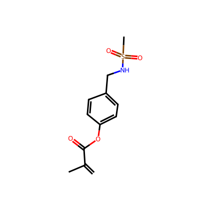 C=C(C)C(=O)Oc1ccc(CNS(C)(=O)=O)cc1